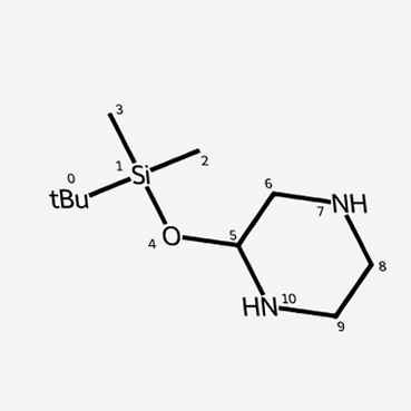 CC(C)(C)[Si](C)(C)OC1CNCCN1